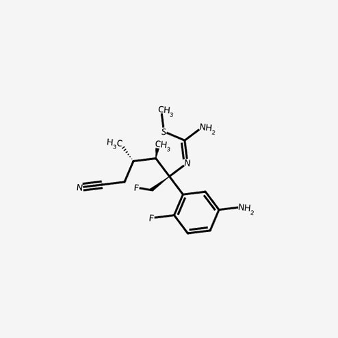 CS/C(N)=N\[C@](CF)(c1cc(N)ccc1F)[C@H](C)[C@@H](C)CC#N